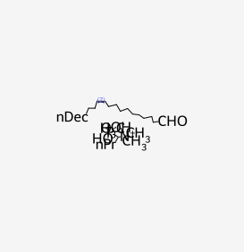 CCCC([N+](C)(C)C)P(=O)(O)O.CCCCCCCCCCCC/C=C\CCCCCCCCCC=O